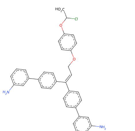 Nc1cccc(-c2ccc(C(=CCOc3ccc(OC(Cl)C(=O)O)cc3)c3ccc(-c4cccc(N)c4)cc3)cc2)c1